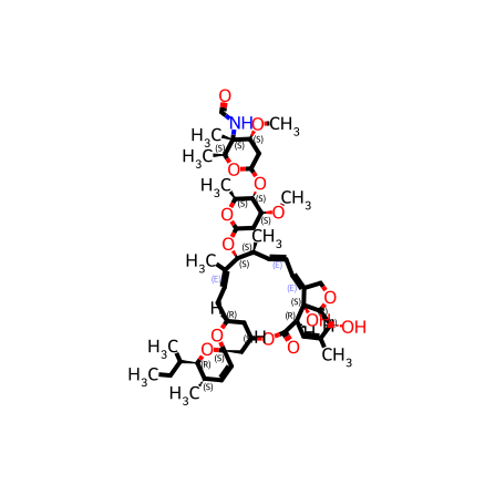 CCC(C)[C@H]1O[C@]2(C=C[C@@H]1C)C[C@@H]1C[C@@H](C/C=C(\C)[C@@H](OC3C[C@H](OC)[C@@H](OC4C[C@H](OC)[C@@](C)(NC=O)[C@H](C)O4)[C@H](C)O3)[C@@H](C)/C=C/C=C3\CO[C@@H]4[C@H](O)C(C)=C[C@@H](C(=O)O1)[C@]34O)O2